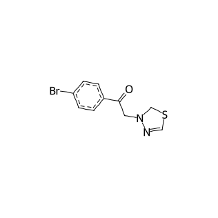 O=C(CN1CSC=N1)c1ccc(Br)cc1